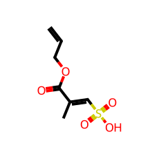 C=CCOC(=O)C(C)=CS(=O)(=O)O